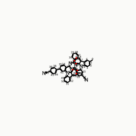 Cc1ccc2c(c1)c1ccccc1n2-c1cc(C#N)ccc1-c1nc(-c2ccccc2)nc(-c2ccc(-c3ccc(C#N)cc3)cc2-n2c3ccccc3c3cc(C)ccc32)n1